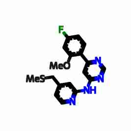 COc1cc(F)ccc1-c1cc(Nc2cc(CSC)ccn2)ncn1